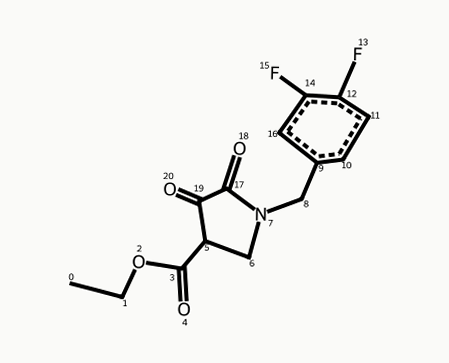 CCOC(=O)C1CN(Cc2ccc(F)c(F)c2)C(=O)C1=O